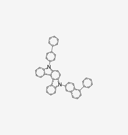 c1ccc(-c2ccc(-n3c4ccccc4c4c5c6ccccc6n(-c6ccc7c(-c8ccccc8)cccc7c6)c5ccc43)cc2)cc1